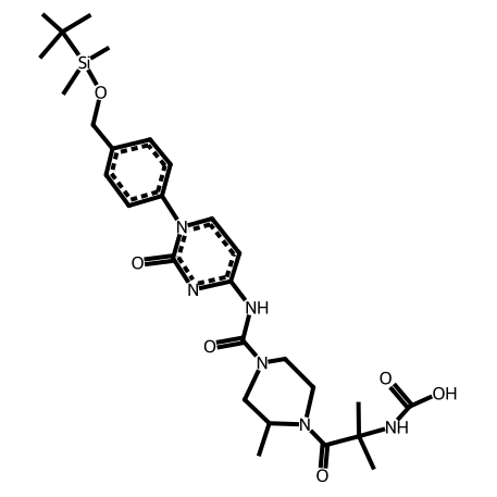 CC1CN(C(=O)Nc2ccn(-c3ccc(CO[Si](C)(C)C(C)(C)C)cc3)c(=O)n2)CCN1C(=O)C(C)(C)NC(=O)O